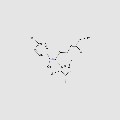 Cc1nn(C)c(/C(OCOC(=O)CC(C)C)=C(\C#N)c2ccc(C(C)(C)C)cc2)c1Cl